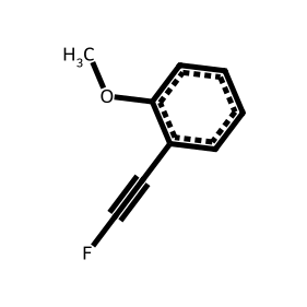 COc1ccccc1C#CF